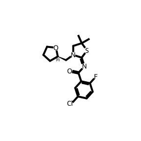 CC1(C)CN(C[C@H]2CCCO2)C(=NC(=O)c2cc(Cl)ccc2F)S1